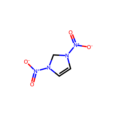 O=[N+]([O-])N1C=CN([N+](=O)[O-])C1